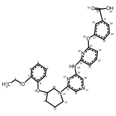 CCOc1ccccc1OC1CCCN(c2cncc(Nc3cccc(Oc4cccc(C(=O)O)c4)n3)n2)C1